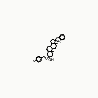 CC(=O)C1(Cc2ccccc2)CCC2C3CC=C4CC(O)(OCc5ccc(F)cc5)CCC4(C)C3CCC21C